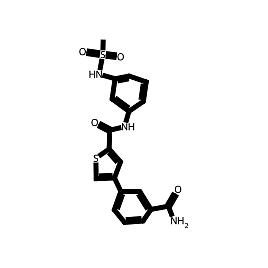 CS(=O)(=O)Nc1cccc(NC(=O)c2cc(-c3cccc(C(N)=O)c3)cs2)c1